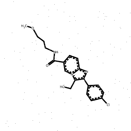 COCCCNC(=O)c1ccc2nc(-c3ccc(Cl)cc3)c(CO)n2c1